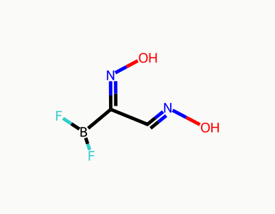 ON=CC(=NO)B(F)F